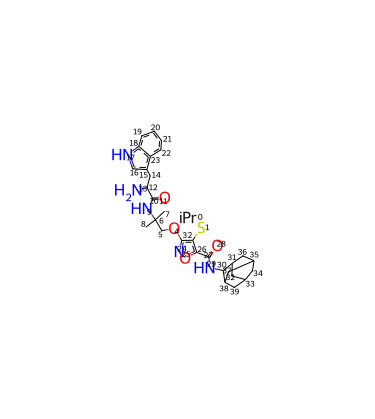 CC(C)Sc1c(OCC(C)(C)NC(=O)[C@@H](N)Cc2c[nH]c3ccccc23)noc1C(=O)NC1C2CC3CC(C2)CC1C3